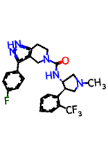 CN1C[C@@H](NC(=O)N2CCc3[nH]nc(-c4ccc(F)cc4)c3C2)[C@H](c2ccccc2C(F)(F)F)C1